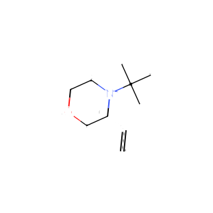 C=C[C@@H]1COCCN1C(C)(C)C